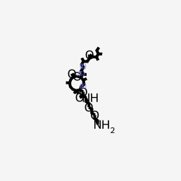 CCC(C)C(C)C1OC1CC(C)/C=C/C=C(\C)C1OC(=O)CC(C)CCC(C)(C)C(OC(=O)NCCOCCOCCN)/C=C/C1C